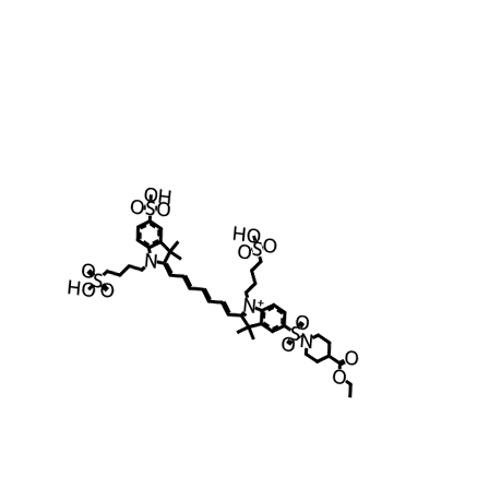 CCOC(=O)C1CCN(S(=O)(=O)c2ccc3c(c2)C(C)(C)C(/C=C/C=C/C=C/C=C2/N(CCCCS(=O)(=O)O)c4ccc(S(=O)(=O)O)cc4C2(C)C)=[N+]3CCCCS(=O)(=O)O)CC1